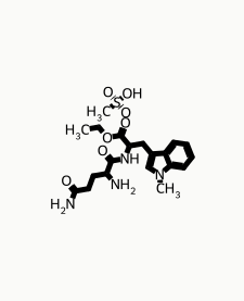 CCOC(=O)C(Cc1cn(C)c2ccccc12)NC(=O)C(N)CCC(N)=O.CS(=O)(=O)O